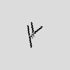 CCCCCCCCCN(CCCCCCCCC)C(=S)SC(=S)N(CCCCCCCCC)CCCCCCCCC